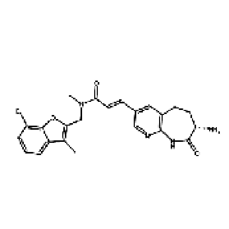 Cc1c(CN(C)C(=O)/C=C/c2cnc3c(c2)CC[C@H](N)C(=O)N3)oc2c(Cl)cccc12